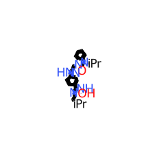 CC(C)CCN=C(NO)c1ccc2[nH]c(Cn3c(=O)n(C(C)C)c4ccccc43)nc2c1